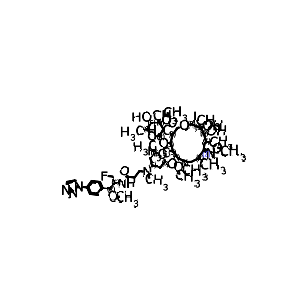 CO/N=C1/[C@H](C)C[C@@](C)(OC)[C@H](O[C@H]2C[C@@H](N(C)CCC(=O)N[C@H](CF)[C@H](OC)c3ccc(-n4ccnn4)cc3)C[C@@H](C)O2)[C@@H](C)[C@H](O[C@H]2C[C@@](C)(OC)[C@@H](O)[C@H](C)O2)[C@@H](C)C(=O)O[C@H](I)[C@@](C)(O)[C@H](O)[C@H]1C